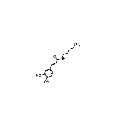 CCCCCNC(=O)/C=C/c1ccc(O)c(O)c1